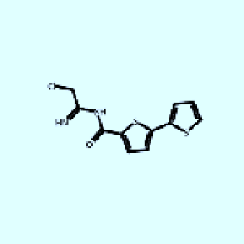 N=C(CCl)NC(=O)c1ccc(-c2cccs2)s1